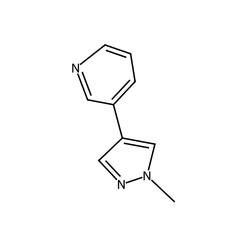 Cn1cc(-c2cccnc2)cn1